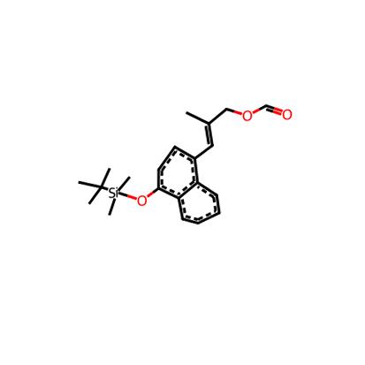 C/C(=C\c1ccc(O[Si](C)(C)C(C)(C)C)c2ccccc12)COC=O